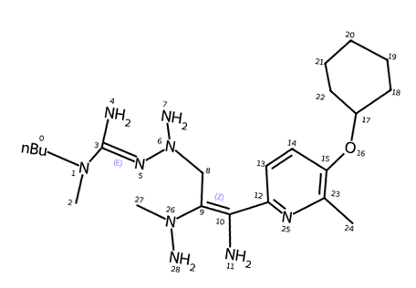 CCCCN(C)/C(N)=N/N(N)C/C(=C(/N)c1ccc(OC2CCCCC2)c(C)n1)N(C)N